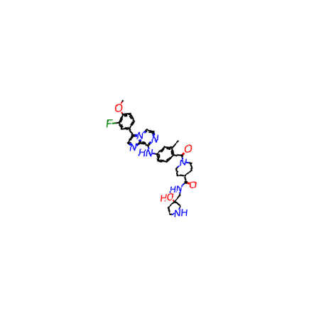 COc1ccc(-c2cnc3c(Nc4ccc(C(=O)N5CCC(C(=O)NCC6(O)CCNC6)CC5)c(C)c4)nccn23)cc1F